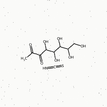 CC(=O)C(=O)C(O)C(O)C(O)C(O)CO.N=C=S